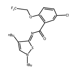 CCCCc1cn(C(C)(C)C)sc1=NC(=O)c1cc(Cl)ccc1OCC(F)(F)F